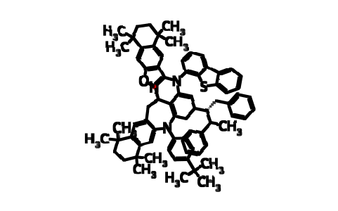 CC(c1ccccc1)[C@@H](Cc1ccccc1)C1C=C2C3=C(C1)N(c1ccc(C(C)(C)C)cc1)c1cc4c(cc1C[C@H]3c1oc3cc5c(cc3c1N2c1cccc2c1sc1ccccc12)C(C)(C)CCC5(C)C)C(C)(C)CCC4(C)C